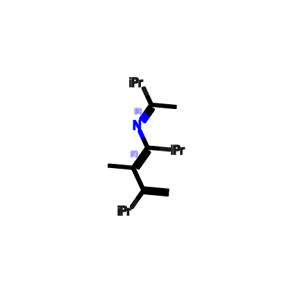 C=C(/C(C)=C(/N=C(\C)C(C)C)C(C)C)C(C)C